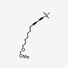 COCOCCCCCCCC#CC#C[Si](C)(C)C